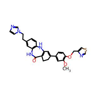 COc1cc(C2=CC3=C(CC2)C(=O)Nc2cc(CCn4ccnc4)ccc2N3)ccc1OCc1cscn1